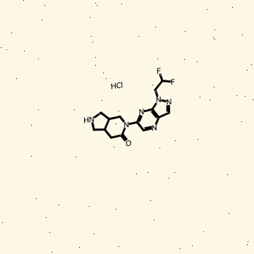 Cl.O=C1CC2CNCC2CN1c1cnc2cnn(CC(F)F)c2n1